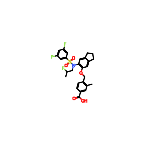 Cc1cc(C(=O)O)ccc1COc1cc2c(cc1N(CC(C)F)S(=O)(=O)c1cc(F)cc(F)c1)CCC2